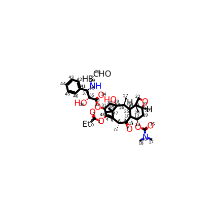 CCC(=O)OC1=C2[C@@H](C)C(=O)[C@]3(C)[C@@H](OC(=O)N(C)C)C[C@H]4OC[C@@]4(C)[C@H]3[C@H](C)[C@](O)(CC1OC(=O)[C@H](O)[C@@H](NBC=O)c1ccccc1)C2(C)C